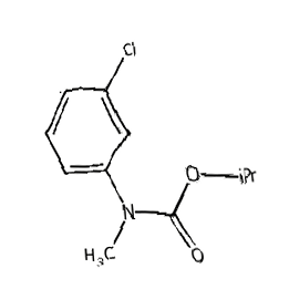 CC(C)OC(=O)N(C)c1cc[c]c(Cl)c1